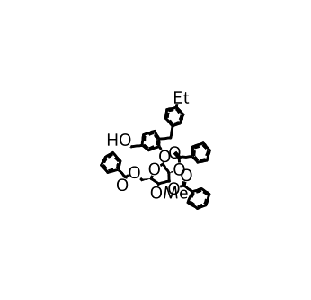 CCc1ccc(Cc2ccc(CO)cc2O[C@H]2O[C@H](COC(=O)c3ccccc3)[C@@H](OC)[C@H](OC(=O)c3ccccc3)[C@H]2OC(=O)c2ccccc2)cc1